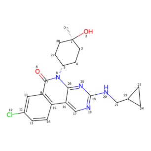 C[C@]1(O)CC[C@H](n2c(=O)c3cc(Cl)ccc3c3cnc(NCC4CC4)nc32)CC1